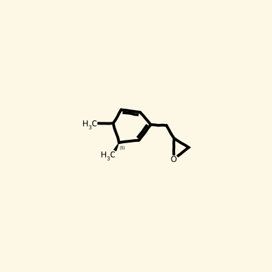 CC1C=CC(CC2CO2)=C[C@H]1C